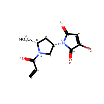 C=CC(=O)N1C[C@@H](N2C(=O)C=C(Br)C2=O)C[C@H]1C(=O)O